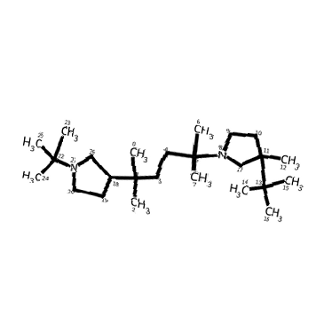 CC(C)(CCC(C)(C)N1CCC(C)(C(C)(C)C)C1)C1CCN(C(C)(C)C)C1